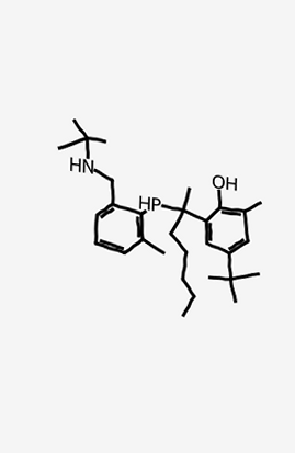 CCCCCC(C)(Pc1c(C)cccc1CNC(C)(C)C)c1cc(C(C)(C)C)cc(C)c1O